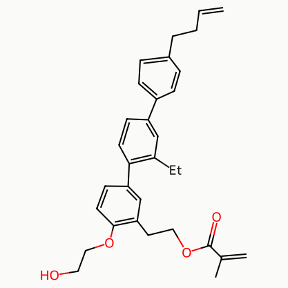 C=CCCc1ccc(-c2ccc(-c3ccc(OCCO)c(CCOC(=O)C(=C)C)c3)c(CC)c2)cc1